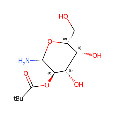 CC(C)(C)C(=O)O[C@H]1C(N)O[C@H](CO)[C@H](O)[C@@H]1O